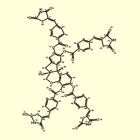 O=C1NC(=O)/C(=C/c2ccc(C(=O)Oc3cc4c(cc3OC(=O)c3ccc(/C=C5\SC(=O)NC5=O)cc3)[C@@H]3c5ccc(OC(=O)c6ccc(/C=C7\SC(=O)NC7=O)cc6)c(OC(=O)c6ccc(/C=C7\SC(O)NC7=O)cc6)c5OC[C@]3(O)C4)cc2)S1